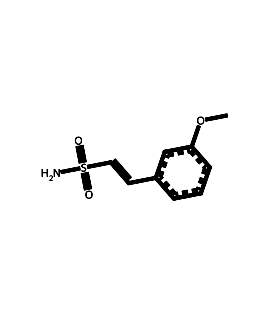 COc1cccc(C=CS(N)(=O)=O)c1